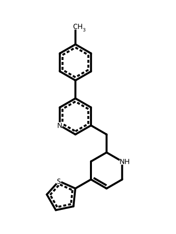 Cc1ccc(-c2cncc(CC3CC(c4cccs4)=CCN3)c2)cc1